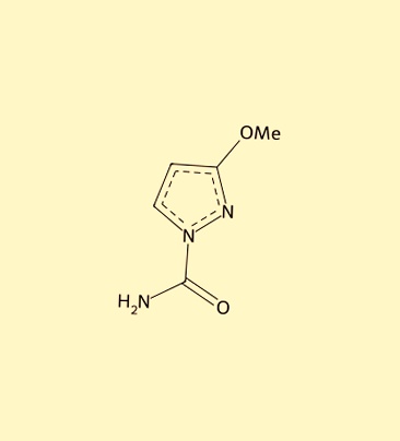 COc1ccn(C(N)=O)n1